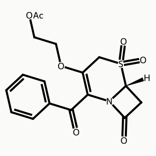 CC(=O)OCCOC1=C(C(=O)c2ccccc2)N2C(=O)C[C@H]2S(=O)(=O)C1